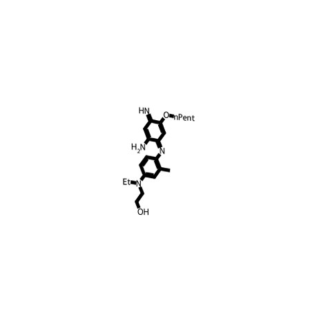 CCCCCOC1=C/C(=N/c2ccc(N(CC)CCO)cc2C)C(N)=CC1=N